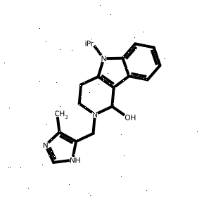 Cc1nc[nH]c1CN1CCc2c(c3ccccc3n2C(C)C)C1O